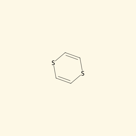 C1=CSC=CS1